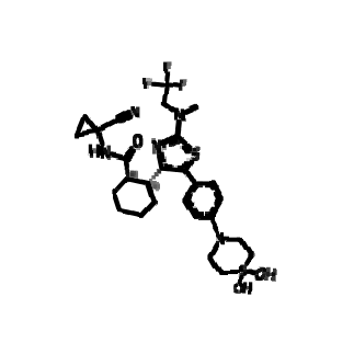 CN(CC(F)(F)F)c1nc([C@@H]2CCCC[C@H]2C(=O)NC2(C#N)CC2)c(-c2ccc(N3CCS(O)(O)CC3)cc2)s1